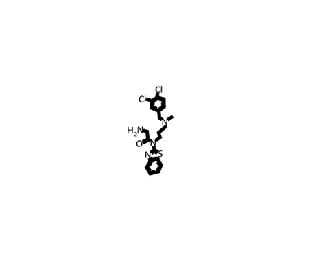 CN(CCCN(C(=O)CN)c1nc2ccccc2s1)Cc1ccc(Cl)c(Cl)c1